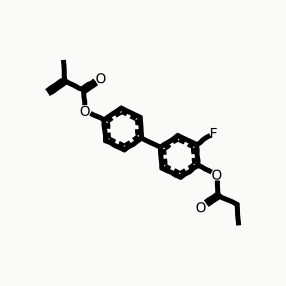 C=C(C)C(=O)Oc1ccc(-c2ccc(OC(=O)CC)c(F)c2)cc1